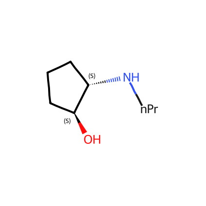 CCCN[C@H]1CCC[C@@H]1O